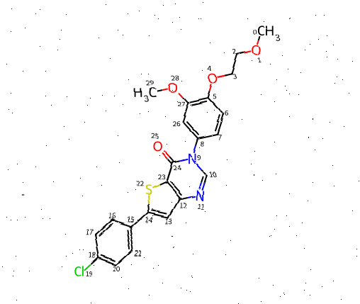 COCCOc1ccc(-n2cnc3cc(-c4ccc(Cl)cc4)sc3c2=O)cc1OC